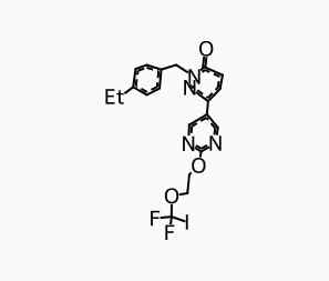 CCc1ccc(Cn2nc(-c3cnc(OCCOC(F)(F)I)nc3)ccc2=O)cc1